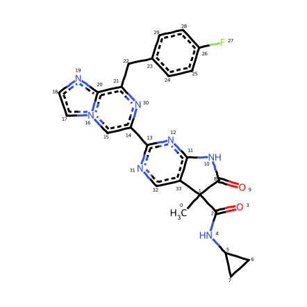 CC1(C(=O)NC2CC2)C(=O)Nc2nc(-c3cn4ccnc4c(Cc4ccc(F)cc4)n3)ncc21